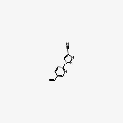 C=Cc1ccc(-n2cc(C#N)nn2)nc1